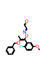 COc1ccc(F)c(/C(O/N=C/C=O)=C(/C)OCc2ccccc2)c1